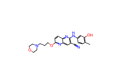 Cc1ccc(Nc2nc3ccc(OCCCN4CCOCC4)nc3cc2C#N)cc1O